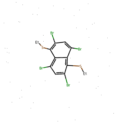 CCSc1c(Br)cc(Br)c2c(SCC)c(Br)cc(Br)c12